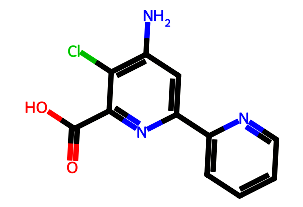 Nc1cc(-c2ccccn2)nc(C(=O)O)c1Cl